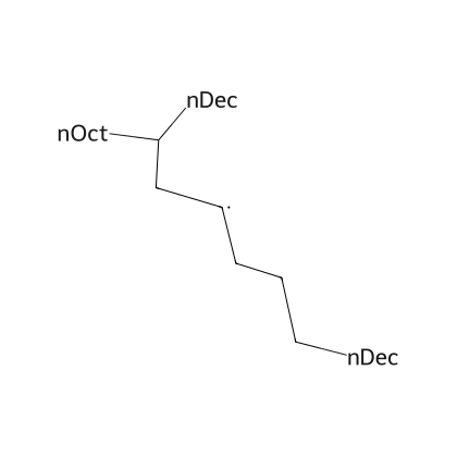 CCCCCCCCCCCCC[CH]CC(CCCCCCCC)CCCCCCCCCC